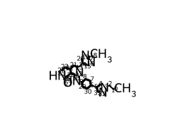 CCCn1cc(-c2ccc(Nc3nc(-c4cnc(C)nc4)cc4cc[nH]c(=O)c34)cc2)cn1